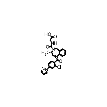 C[C@H]1CN(C(=O)c2ccc(-n3cccn3)cc2Cl)c2ccccc2CN1C(=O)NCC(=O)O